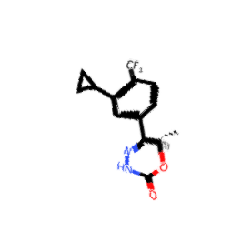 C[C@@H]1OC(=O)NN=C1c1ccc(C(F)(F)F)c(C2CC2)c1